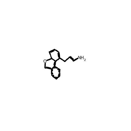 NC=CCC1=CC=CC2OC=c3ccccc3=C12